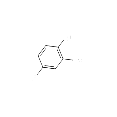 COc1cc(F)[c]cc1O